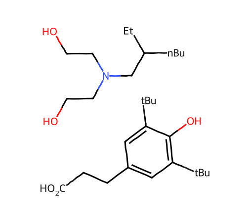 CC(C)(C)c1cc(CCC(=O)O)cc(C(C)(C)C)c1O.CCCCC(CC)CN(CCO)CCO